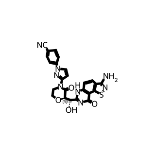 N#Cc1ccc(-n2ccc(N3CCO[C@H]([C@@H](O)c4nc(=O)c5c(ccc6c(N)nsc65)[nH]4)C3=O)n2)cc1